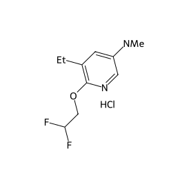 CCc1cc(NC)cnc1OCC(F)F.Cl